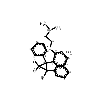 CCC1(c2ccccc2)C(Cl)(Cl)C1(c1ccccc1)c1ccccc1OCCN(C)C.Cl